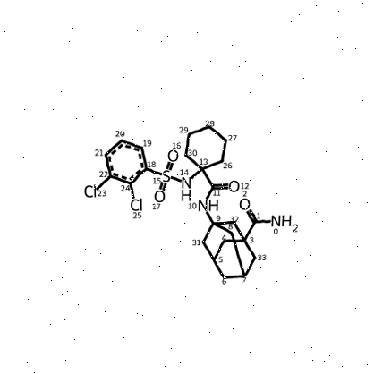 NC(=O)C12CC3CC(CC(NC(=O)C4(NS(=O)(=O)c5cccc(Cl)c5Cl)CCCCC4)(C3)C1)C2